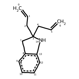 C=CCC1(CC=C)[CH]c2ccccc2N1